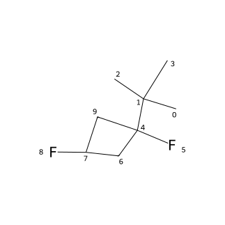 CC(C)(C)C1(F)CC(F)C1